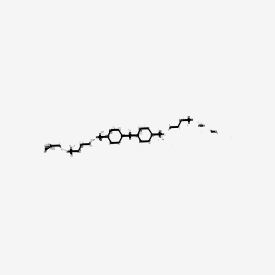 CCOCOC(C)(C)CCCOC(C)(C)C1CCC(C(C)(C)C2CCC(C(C)(C)OCCCC(C)(C)OCC3CO3)CC2)CC1